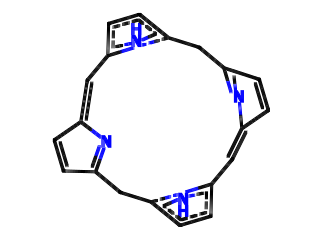 C1=CC2=NC1=Cc1ccc([nH]1)CC1=NC(=Cc3ccc([nH]3)C2)C=C1